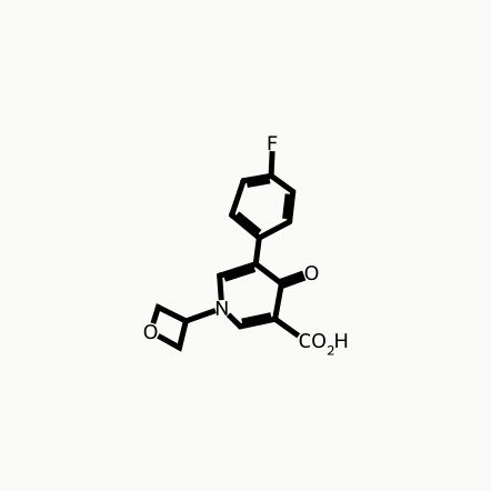 O=C(O)c1cn(C2COC2)cc(-c2ccc(F)cc2)c1=O